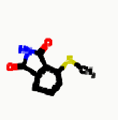 CSc1cccc2c1C(=O)NC2=O